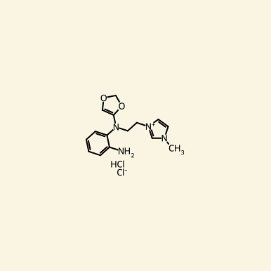 Cl.Cn1cc[n+](CCN(C2=COCO2)c2ccccc2N)c1.[Cl-]